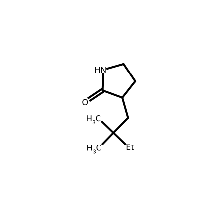 CCC(C)(C)CC1CCNC1=O